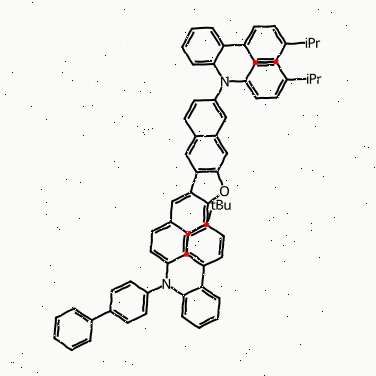 CC(C)c1ccc(-c2ccccc2N(c2ccc(C(C)C)cc2)c2ccc3cc4c(cc3c2)oc2cc3cc(N(c5ccc(-c6ccccc6)cc5)c5ccccc5-c5ccc(C(C)(C)C)cc5)ccc3cc24)cc1